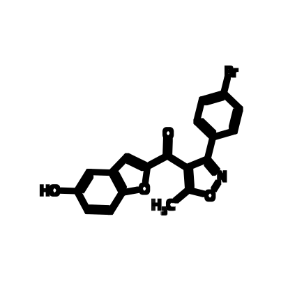 Cc1onc(-c2ccc(Br)cc2)c1C(=O)c1cc2cc(O)ccc2o1